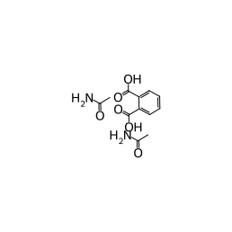 CC(N)=O.CC(N)=O.O=C(O)c1ccccc1C(=O)O